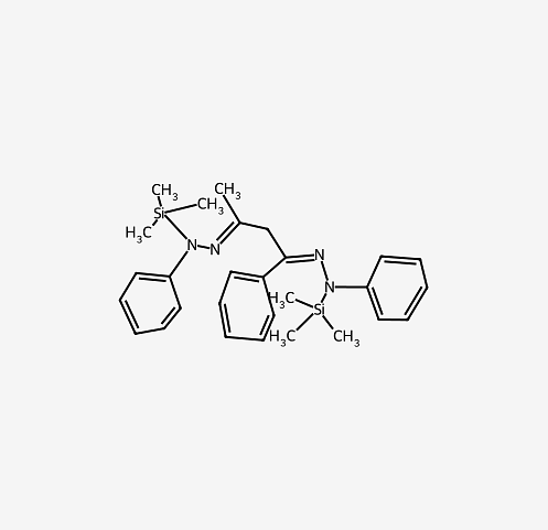 CC(CC(=NN(c1ccccc1)[Si](C)(C)C)c1ccccc1)=NN(c1ccccc1)[Si](C)(C)C